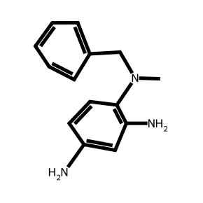 CN(Cc1ccccc1)c1ccc(N)cc1N